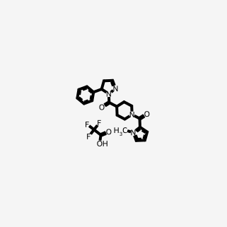 Cn1cccc1C(=O)N1CCC(C(=O)N2N=CCC2c2ccccc2)CC1.O=C(O)C(F)(F)F